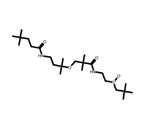 CC(C)(C)CCC(=O)NCCC(C)(C)OCC(C)(C)C(=O)NCC[S+]([O-])CC(C)(C)C